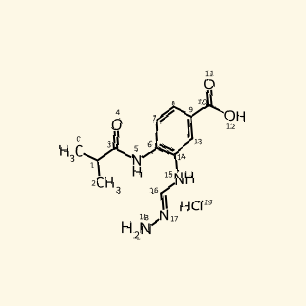 CC(C)C(=O)Nc1ccc(C(=O)O)cc1NC=NN.Cl